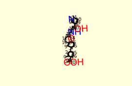 Cc1cc(-c2ccc3c(c2)CC[C@H](CNC[C@@H](O)c2cccnc2)O3)ccc1C(=O)O